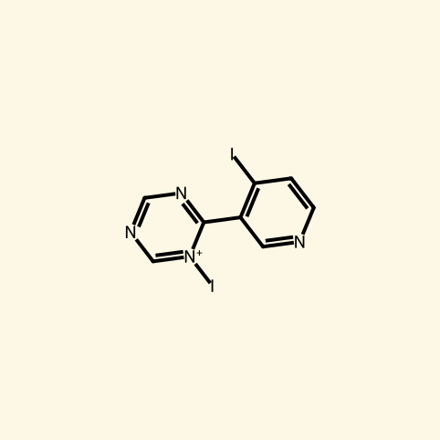 Ic1ccncc1-c1ncnc[n+]1I